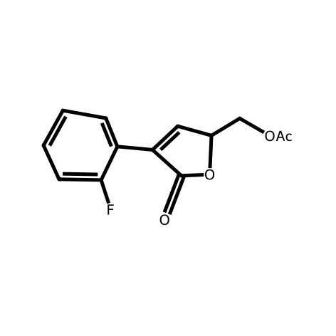 CC(=O)OCC1C=C(c2ccccc2F)C(=O)O1